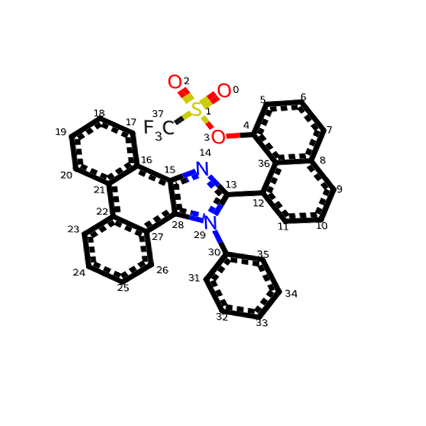 O=S(=O)(Oc1cccc2cccc(-c3nc4c5ccccc5c5ccccc5c4n3-c3ccccc3)c12)C(F)(F)F